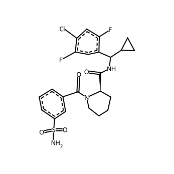 NS(=O)(=O)c1cccc(C(=O)N2CCCC[C@@H]2C(=O)NC(c2cc(F)c(Cl)cc2F)C2CC2)c1